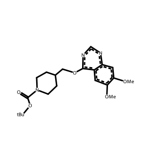 COc1cc2ncnc(OCC3CCN(C(=O)OC(C)(C)C)CC3)c2cc1OC